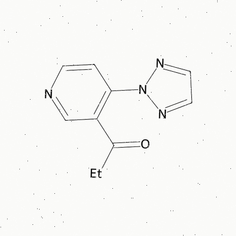 CCC(=O)c1cnccc1-n1nccn1